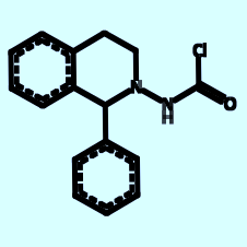 O=C(Cl)NN1CCc2ccccc2C1c1ccccc1